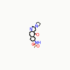 CS(=O)(=O)Nc1ccc2ccc3ncc(N4CCCC4)cc3c(=O)c2c1